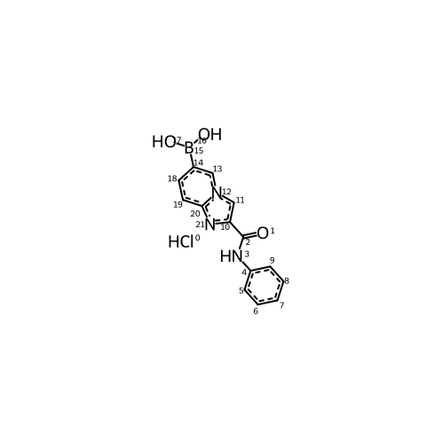 Cl.O=C(Nc1ccccc1)c1cn2cc(B(O)O)ccc2n1